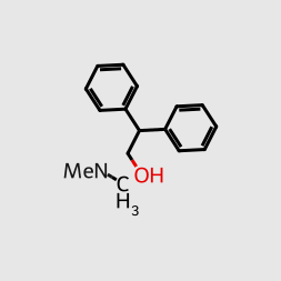 CNC.OCC(c1ccccc1)c1ccccc1